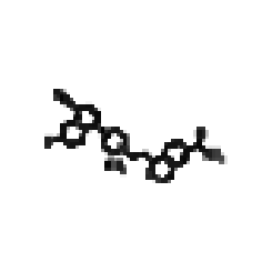 C[C@@H]1CN(c2ccc(C#N)c3cc(F)ccc23)CCN1CC[C@@H]1OCCc2cc(C(N)=O)ccc21